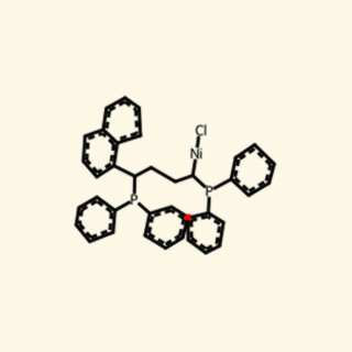 [Cl][Ni][CH](CCC(c1cccc2ccccc12)P(c1ccccc1)c1ccccc1)P(c1ccccc1)c1ccccc1